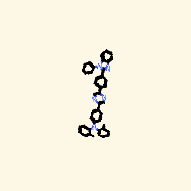 Cc1ccccc1N(c1ccc(-c2cnc(-c3ccc(-c4nc5ccccc5n4-c4ccccc4)cc3)cn2)cc1)c1ccccc1C